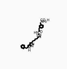 O=C(O)NCc1cccc(CC(=O)Nc2nnc(CCCCc3cc4cc(Cc5ccccc5)[nH]c4nn3)s2)c1